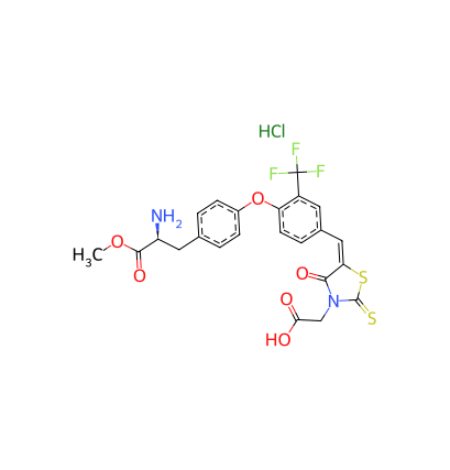 COC(=O)[C@@H](N)Cc1ccc(Oc2ccc(C=C3SC(=S)N(CC(=O)O)C3=O)cc2C(F)(F)F)cc1.Cl